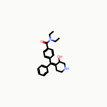 CCN(CC)C(=O)c1ccc(C(=C2CCNCC2O)c2ccccc2)cc1